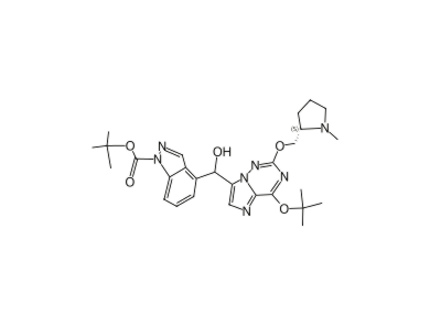 CN1CCC[C@H]1COc1nc(OC(C)(C)C)c2ncc(C(O)c3cccc4c3cnn4C(=O)OC(C)(C)C)n2n1